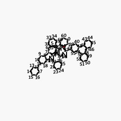 c1ccc(-c2ccc3c4ccc(-c5ccccc5)cc4n(-c4ccccc4-c4nc(-c5ccccc5)nc(-c5ccc6c7ccccc7c7ccccc7c6c5)n4)c3c2)cc1